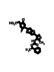 Cc1nsc(-c2cc3sc(-c4cc(Cl)c(CC(=O)O)cc4F)cc3s2)c1NC(=O)O[C@H](C)c1ccccc1